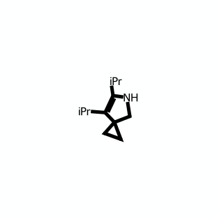 CC(C)C1=C(C(C)C)C2(CC2)CN1